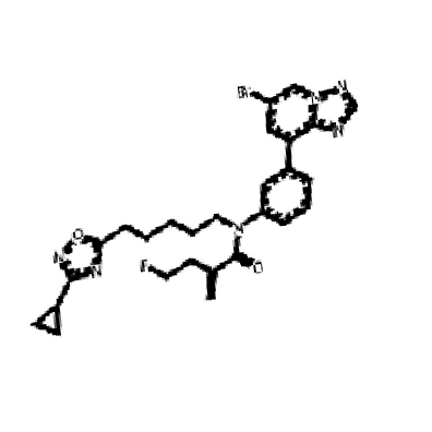 C=C(CCF)C(=O)N(CCCCCc1nc(C2CC2)no1)c1cccc(-c2cc(Br)cn3ncnc23)c1